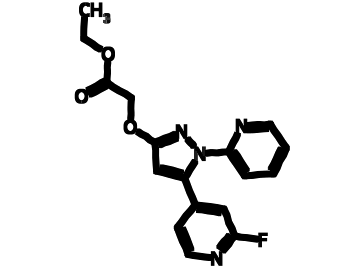 CCOC(=O)COc1cc(-c2ccnc(F)c2)n(-c2ccccn2)n1